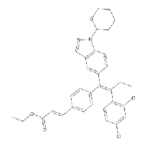 CCOC(=O)/C=C/c1ccc(/C(=C(/CC)c2ccc(Cl)cc2Cl)c2ccc3c(cnn3C3CCCCO3)c2)cc1